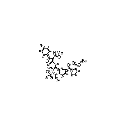 CNC(=O)c1c(-c2ccc(F)cc2)oc2cc(N(CCF)S(C)(=O)=O)c(-c3cccc(C(=O)N4CCC[C@H]4C(=O)OC(C)(C)C)c3)cc12